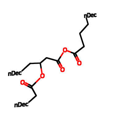 CCCCCCCCCCCCCC(=O)OC(=O)CC(CCCCCCCCCCC)OC(=O)CCCCCCCCCCC